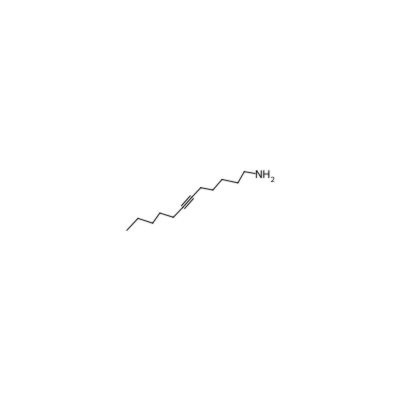 CCCCCC#CCCCCCN